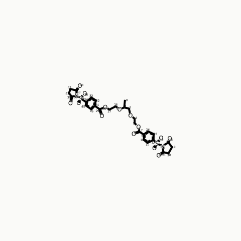 CC(COCCOC(=O)c1ccc(S(=O)(=O)N2C(=O)CCC2=O)cc1)OCCOC(=O)c1ccc(S(=O)(=O)N2C(=O)CCC2=O)cc1